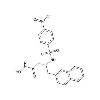 O=C(C[C@@H](Cc1ccc2ccccc2c1)NS(=O)(=O)c1ccc([N+](=O)[O-])cc1)NO